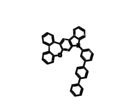 c1ccc(-c2ccc(-c3cccc(-n4c5ccccc5c5cc6c(cc54)Oc4ccccc4-c4ccccc4-6)c3)cc2)cc1